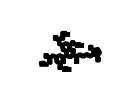 CC(C)(C)OC(=O)CN(CCN(CCN(CC(=O)OC(C)(C)C)CC(=O)OC(C)(C)C)CC(=O)NCCCCN1C(=O)C=CC1=O)CC(=O)OC(C)(C)C